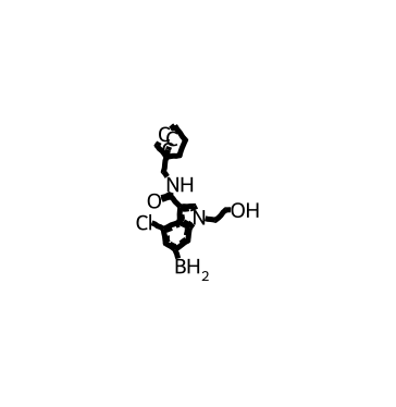 Bc1cc(Cl)c2c(C(=O)NCC34CCC(CC3)CC4)cn(CCO)c2c1